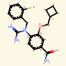 N=C(N)N(Cc1ccccc1F)c1ccc(C(N)=O)cc1OCC1CCC1